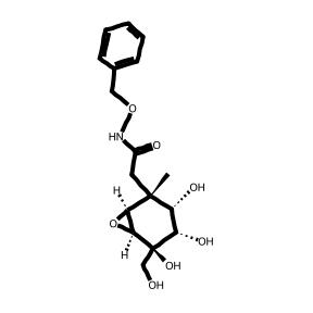 C[C@@]1(CC(=O)NOCc2ccccc2)[C@H](O)[C@H](O)[C@](O)(CO)[C@H]2O[C@H]21